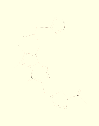 Cn1c2c(c3cnn(Cc4nc(C(N)=O)cs4)c(=O)c31)SC(Cc1cc[nH]n1)=NC2